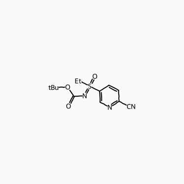 CCS(=O)(=NC(=O)OC(C)(C)C)c1ccc(C#N)nc1